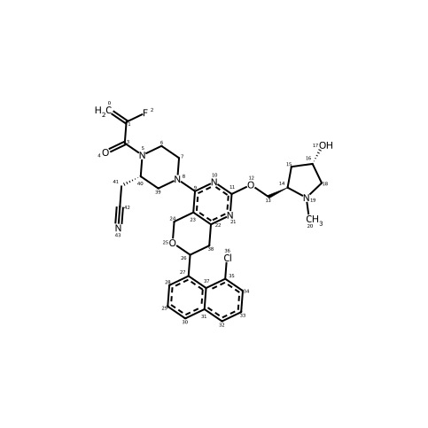 C=C(F)C(=O)N1CCN(c2nc(OC[C@H]3C[C@H](O)CN3C)nc3c2COC(c2cccc4cccc(Cl)c24)C3)C[C@@H]1CC#N